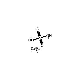 O=S(=O)(O)O.[Ca+2].[O-2]